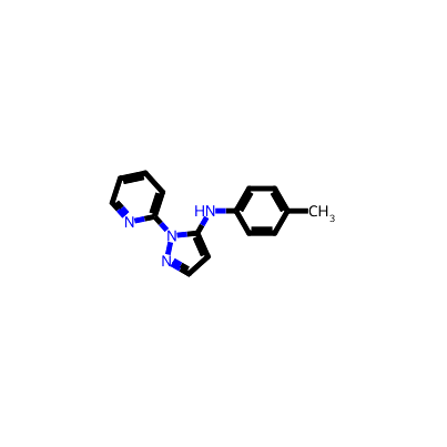 Cc1ccc(Nc2ccnn2-c2ccccn2)cc1